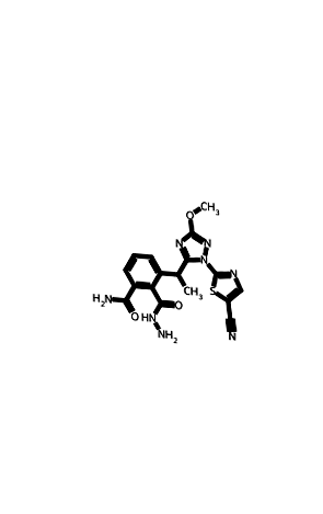 COc1nc(C(C)c2cccc(C(N)=O)c2C(=O)NN)n(-c2ncc(C#N)s2)n1